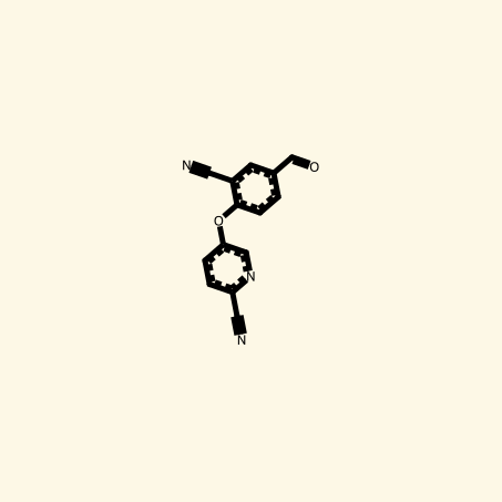 N#Cc1ccc(Oc2ccc(C=O)cc2C#N)cn1